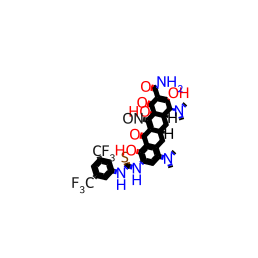 CN(C)c1cc(NC(=S)Nc2cc(C(F)(F)F)cc(C(F)(F)F)c2)c(O)c2c1C[C@H]1C[C@H]3[C@H](N(C)C)C(O)=C(C(N)=O)C(=O)[C@@]3(O)C(N=O)=C1C2=O